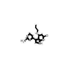 CCCOc1cc(Cl)nc2[nH]cc(-c3ccnc(N)n3)c12